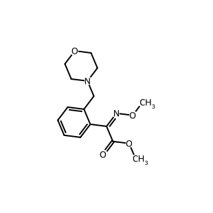 CON=C(C(=O)OC)c1ccccc1CN1CCOCC1